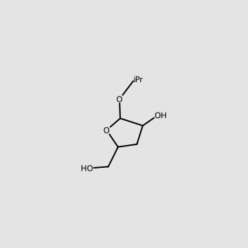 CC(C)OC1OC(CO)CC1O